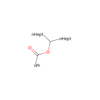 CCCCCCCC(CCCCCCC)OC(=O)CCC